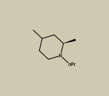 CCCN1CCC(C)C[C@H]1C